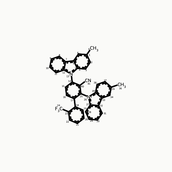 Cc1ccc2c(c1)c1ccccc1n2-c1ccc(-c2ccccc2C(F)(F)F)c(-n2c3ccccc3c3cc(C)ccc32)c1C#N